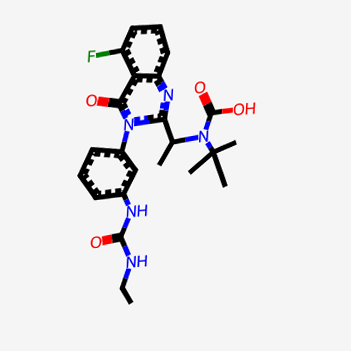 CCNC(=O)Nc1cccc(-n2c(C(C)N(C(=O)O)C(C)(C)C)nc3cccc(F)c3c2=O)c1